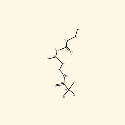 CCOC(=O)O[C](C)CCOC(=O)C(C)(C)C